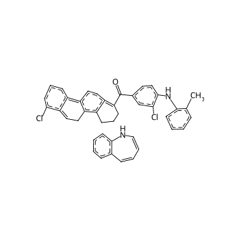 C1=CNc2ccccc2C=C1.Cc1ccccc1Nc1ccc(C(=O)C2=c3ccc4c(c3CCC2)CC=c2c(Cl)cccc2=4)cc1Cl